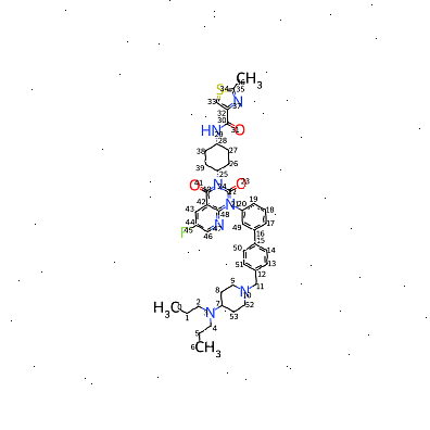 CCCN(CCC)C1CCN(Cc2ccc(-c3cccc(-n4c(=O)n([C@H]5CC[C@@H](NC(=O)c6csc(C)n6)CC5)c(=O)c5cc(F)cnc54)c3)cc2)CC1